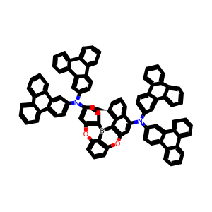 c1cc2c3c(c1)Oc1cc(N(c4ccc5c6ccccc6c6ccccc6c5c4)c4ccc5c6ccccc6c6ccccc6c5c4)c4ccccc4c1B3c1c(cc(N(c3ccc4c5ccccc5c5ccccc5c4c3)c3ccc4c5ccccc5c5ccccc5c4c3)c3ccccc13)O2